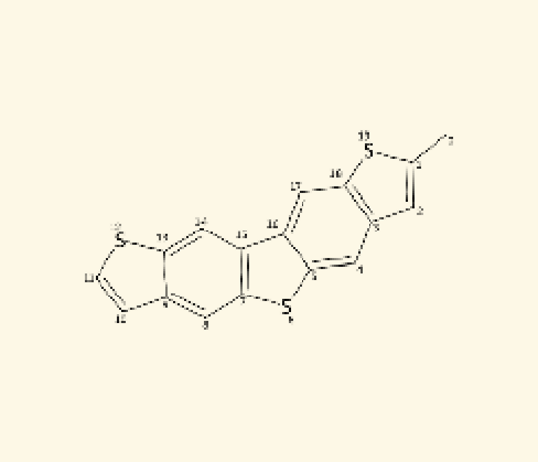 Cc1cc2cc3sc4cc5ccsc5cc4c3cc2s1